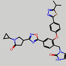 CC(C)c1nnc(-c2ccc(Oc3cc(-c4nc(C5CC(=O)N(C6CC6)C5)no4)ccc3Cn3cc[nH]c3=O)cc2)s1